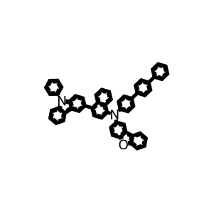 c1ccc(-c2ccc(-c3ccc(N(c4ccc5oc6ccccc6c5c4)c4ccc(-c5ccc6c(c5)c5ccccc5n6-c5ccccc5)c5ccccc45)cc3)cc2)cc1